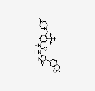 CN1CCN(Cc2ccc(NC(=O)Nc3cc(-c4ccc5cnoc5c4)n(C)n3)cc2C(F)(F)F)CC1